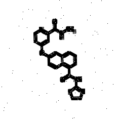 CNC(=O)c1cc(Oc2ccc3c(C(=O)Nc4nccs4)cccc3c2)ccn1